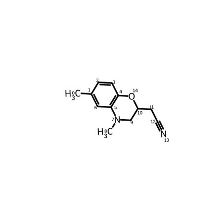 Cc1ccc2c(c1)N(C)CC(CC#N)O2